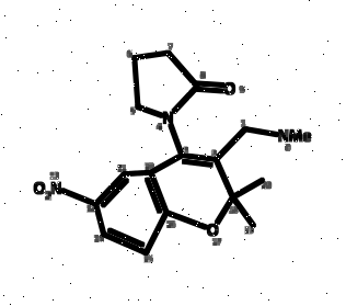 CNCC1=C(N2CCCC2=O)c2cc([N+](=O)[O-])ccc2OC1(C)C